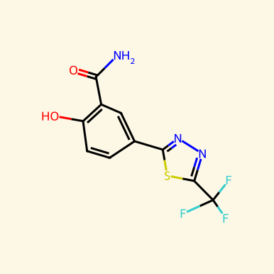 NC(=O)c1cc(-c2nnc(C(F)(F)F)s2)ccc1O